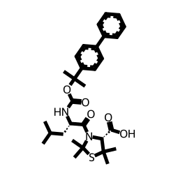 CC(C)C[C@H](NC(=O)OC(C)(C)c1ccc(-c2ccccc2)cc1)C(=O)N1[C@H](C(=O)O)C(C)(C)SC1(C)C